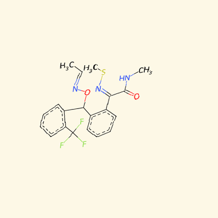 CC=NOC(c1ccccc1C(=NSC)C(=O)NC)c1ccccc1C(F)(F)F